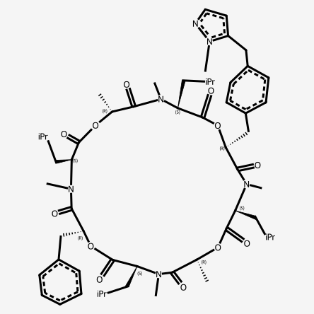 CC(C)C[C@H]1C(=O)O[C@H](Cc2ccc(Cc3ccnn3C)cc2)C(=O)N(C)[C@@H](CC(C)C)C(=O)O[C@H](C)C(=O)N(C)[C@@H](CC(C)C)C(=O)O[C@H](Cc2ccccc2)C(=O)N(C)[C@@H](CC(C)C)C(=O)O[C@H](C)C(=O)N1C